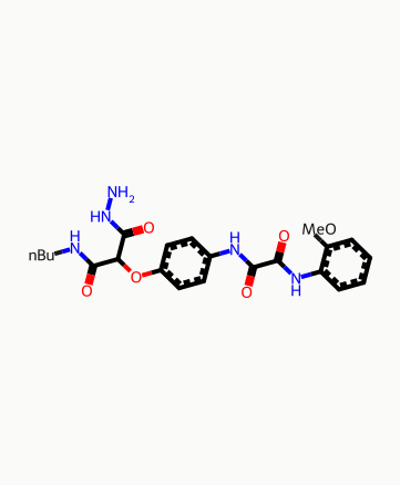 CCCCNC(=O)C(Oc1ccc(NC(=O)C(=O)Nc2ccccc2OC)cc1)C(=O)NN